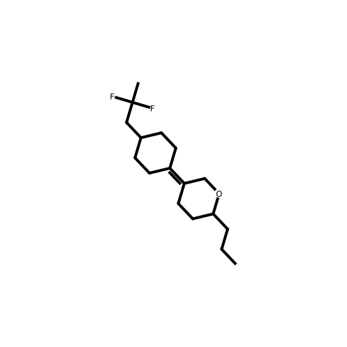 CCCC1CCC(=C2CCC(CC(C)(F)F)CC2)CO1